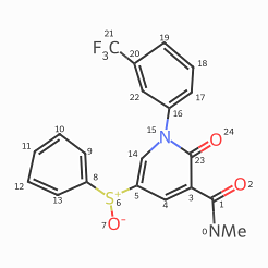 CNC(=O)c1cc([S+]([O-])c2ccccc2)cn(-c2cccc(C(F)(F)F)c2)c1=O